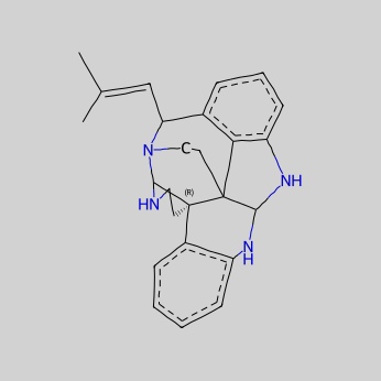 CC(C)=CC1c2cccc3c2C24CCN1C1NCC[C@]12c1ccccc1NC4N3